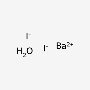 O.[Ba+2].[I-].[I-]